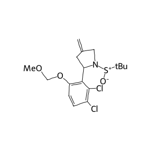 C=C1CC(c2c(OCOC)ccc(Cl)c2Cl)N([S+]([O-])C(C)(C)C)C1